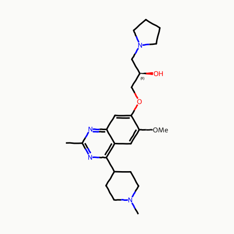 COc1cc2c(C3CCN(C)CC3)nc(C)nc2cc1OC[C@H](O)CN1CCCC1